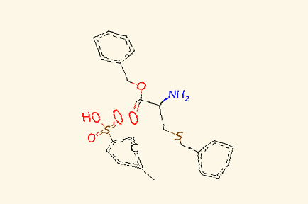 Cc1ccc(S(=O)(=O)O)cc1.N[C@@H](CSCc1ccccc1)C(=O)OCc1ccccc1